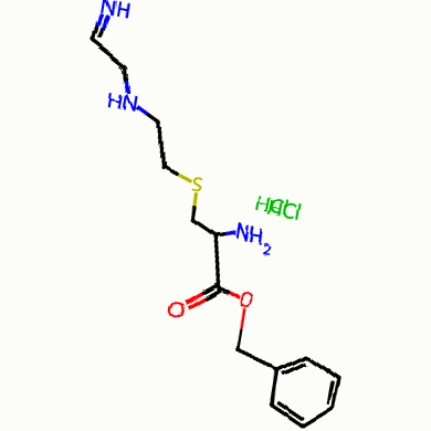 Cl.Cl.N=CCNCCSCC(N)C(=O)OCc1ccccc1